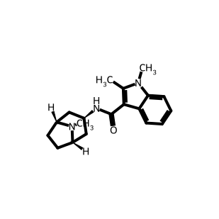 Cc1c(C(=O)N[C@@H]2C[C@H]3CC[C@@H](C2)N3C)c2ccccc2n1C